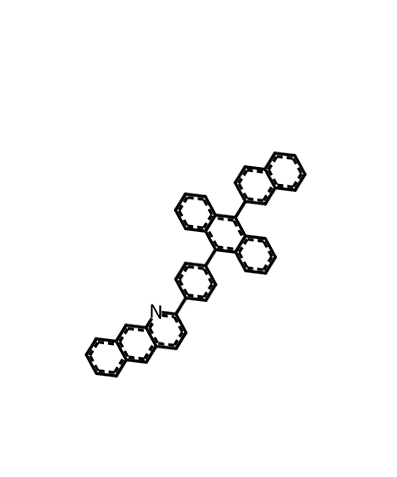 c1ccc2cc(-c3c4ccccc4c(-c4ccc(-c5ccc6cc7ccccc7cc6n5)cc4)c4ccccc34)ccc2c1